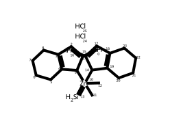 CC(C)C1=CC2=C(CCCC2)[CH]1[Zr]([CH3])([CH3])(=[SiH2])[CH]1C(C(C)C)=CC2=C1CCCC2.Cl.Cl